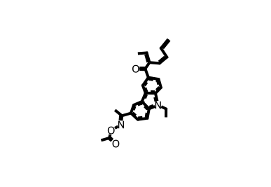 C=C/C=C\C(=C\C)C(=O)c1ccc2c(c1)c1cc(/C(C)=N/OC(C)=O)ccc1n2CC